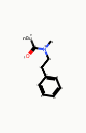 CCCCC(=O)N(C)CCc1ccccc1